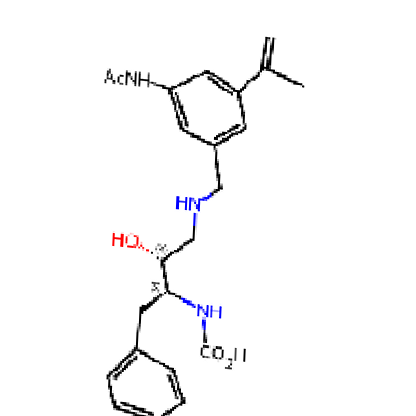 C=C(C)c1cc(CNC[C@@H](O)[C@H](Cc2ccccc2)NC(=O)O)cc(NC(C)=O)c1